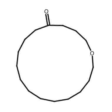 O=C1CCCCCCCCCCCCOCCC1